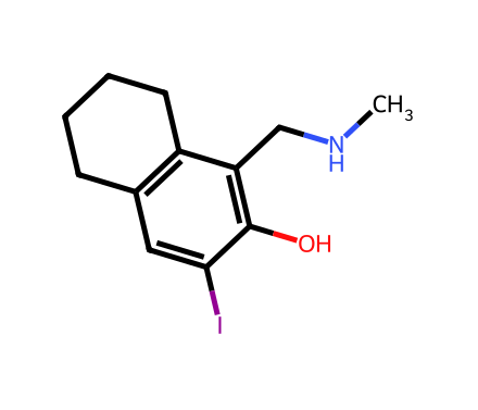 CNCc1c(O)c(I)cc2c1CCCC2